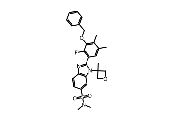 Cc1cc(-c2nc3ccc(S(=O)(=O)N(C)C)cc3n2C2(C)COC2)c(F)c(OCc2ccccc2)c1C